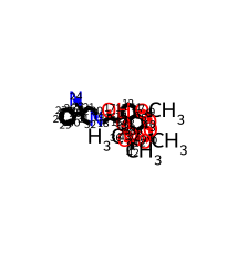 CC(=O)OC1CC2(OC(C)=O)CCCC(CC(O)CN3CCC(C#N)(c4ccccc4)CC3)C2(OC(C)=O)CC1OC(C)=O